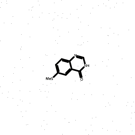 CSc1ccc2nc[nH]c(=O)c2c1